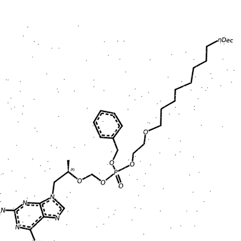 CCCCCCCCCCCCCCCCCCOCCOP(=O)(OCO[C@H](C)Cn1cnc2c(N)nc(N)nc21)OCc1ccccc1